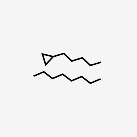 CCCCCC1[CH]C1.[CH2]CCCCCCC